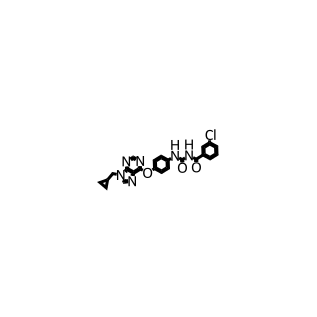 O=C(NC(=O)c1cccc(Cl)c1)Nc1ccc(Oc2ncnc3c2ncn3CC2CC2)cc1